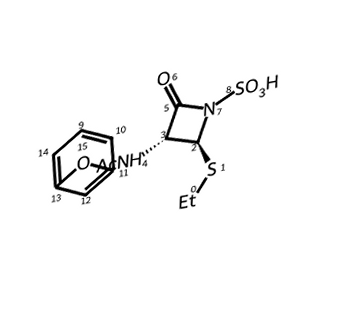 CCS[C@H]1[C@H](NC(C)=O)C(=O)N1S(=O)(=O)O.c1cc2cc(c1)O2